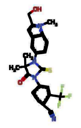 Cn1c(CO)cc2cc(N3C(=S)N(c4ccc(C#N)c(C(F)(F)F)c4)C(=O)C3(C)C)ccc21